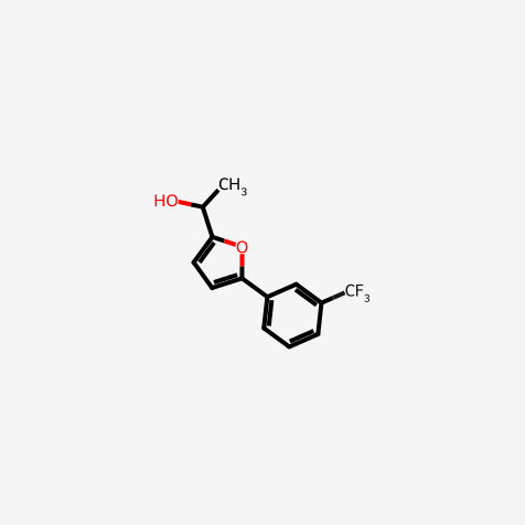 CC(O)c1ccc(-c2cccc(C(F)(F)F)c2)o1